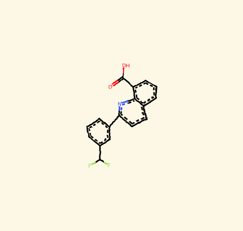 O=C(O)c1cccc2ccc(-c3cccc(C(F)F)c3)nc12